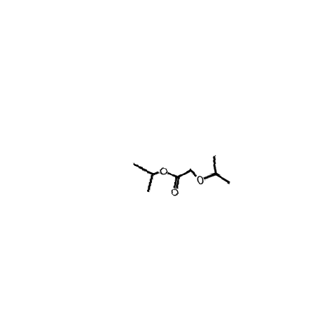 CC(C)OCC(=O)OC(C)C